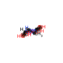 Cc1ccc(NC(=O)C(=O)Nc2ccc(C)c(C(=O)Nc3ccc4cc(S(=O)(=O)O)cc(O)c4c3)c2)cc1C(=O)Nc1ccc2cc(S(=O)(=O)O)cc(O)c2c1